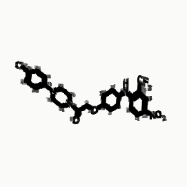 O=C(COC1CCC(Nc2ccc([N+](=O)[O-])cc2C(F)(F)F)CC1)N1CCN(c2ccc(Cl)cc2)CC1